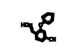 N#Cc1ccc(C=NO)c(Oc2ccccc2)c1